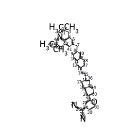 CC1(C)Cc2cc(Cc3ccc4cc(/C=C/c5ccc6cc(C7=CC(=C(C#N)C#N)C=CO7)ccc6c5)ccc4c3)cc3c2N(C1)CC(C)(C)C3